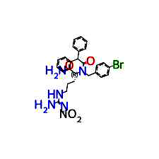 NC(=O)[C@@H](CCCNC(N)=N[N+](=O)[O-])N(Cc1ccc(Br)cc1)C(=O)C(c1ccccc1)c1ccccc1